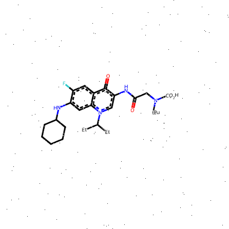 CCC(CC)n1cc(NC(=O)CN(C(=O)O)C(C)(C)C)c(=O)c2cc(F)c(NC3CCCCC3)cc21